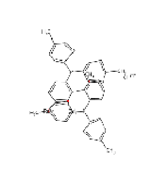 Cc1ccc(P(c2ccc(C)cc2)c2cccc(C)c2-c2c(P(c3ccc(C)cc3)c3ccc(C)cc3)cc[c]([Ru+2])c2C)cc1.[Cl-].[Cl-]